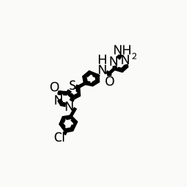 Nc1nccc(C(=O)Nc2ccc(-c3cc4c(s3)c(=O)ncn4Cc3ccc(Cl)cc3)cc2)n1